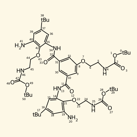 CC(C)(C)OC(=O)NCCOc1cc(C(=O)Nc2cc(C(C)(C)C)cc(N)c2OCCNC(=O)OC(C)(C)C)cc(C(=O)Nc2cc(C(C)(C)C)cc(N)c2OCCNC(=O)OC(C)(C)C)c1